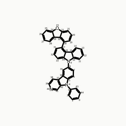 c1ccc(-n2c3ccc(-n4c5ccccc5c5c(-c6cccc7oc8ccccc8c67)cccc54)cc3c3ccncc32)cc1